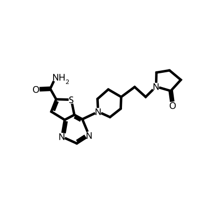 NC(=O)c1cc2ncnc(N3CCC(CCN4CCCC4=O)CC3)c2s1